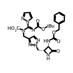 CC(C)(C)OC(=O)N=C(N(Cc1cnn(C[C@H]2NC(=O)[C@H]2NC(=O)OCc2ccccc2)n1)C(=O)O)n1cccn1